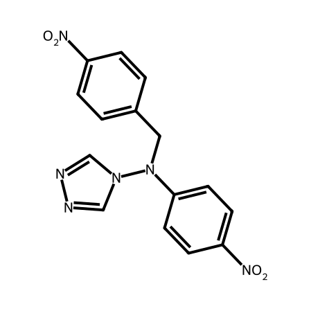 O=[N+]([O-])c1ccc(CN(c2ccc([N+](=O)[O-])cc2)n2cnnc2)cc1